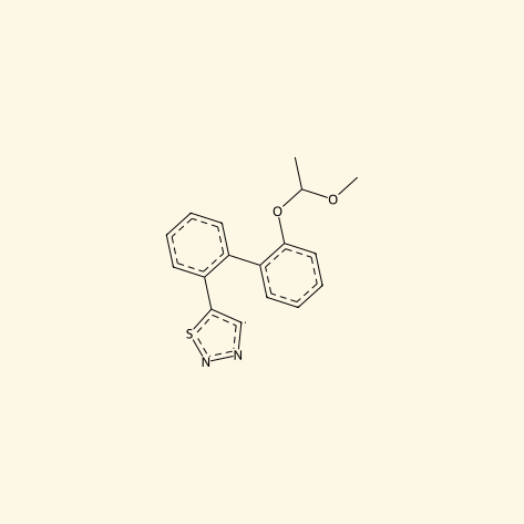 COC(C)Oc1ccccc1-c1ccccc1-c1[c]nns1